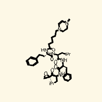 CC(C)CC(NC(=O)[C@H](CCc1ccccc1)NC(=O)CCCCCN1CCN(C)CC1)C(=O)N[C@@H](Cc1ccccc1)C(=O)NC(CC(C)C)C(=O)[C@@]1(C)CO1